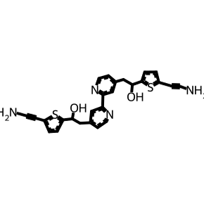 NC#Cc1ccc(C(O)Cc2ccnc(-c3cc(CC(O)c4ccc(C#CN)s4)ccn3)c2)s1